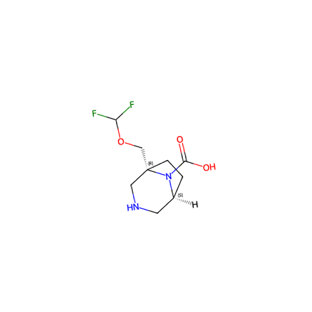 O=C(O)N1[C@H]2CC[C@]1(COC(F)F)CNC2